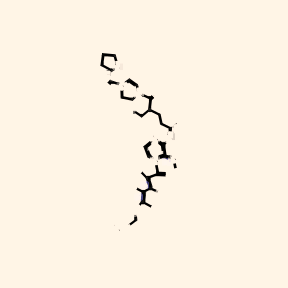 C=C(/C(C)=C(Cl)/C(F)=C(\C)OCC#N)n1ccnc(N[C@H](CC)CCC(CCl)C(=O)N2C=CN(C(=O)[C@@H]3CCCN3)CC2)/c1=N/C